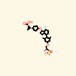 Cc1cc(OC[C@H](C)CS(C)(=O)=O)cc(C)c1-c1ccc(F)c2c1CC[C@H]2Oc1ccc([C@H]2C[C@@H]2C(=O)O)cc1